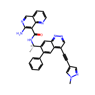 C[C@H](NC(=O)c1c(N)ncc2cccnc12)c1cc2nncc(C#Cc3cnn(C)c3)c2cc1-c1ccccc1